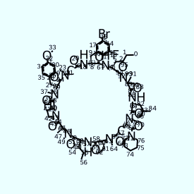 CCCC[C@@H]1NC(=O)[C@H](Cc2cc(F)cc(Br)c2)NC(=O)CN(C)C(=O)[C@H](Cc2ccc(OC)cc2)N(C)C(=O)[C@@H]2CCN2C(=O)[C@H](C)N(C)C(=O)[C@H]([C@@H](C)CC)NC(=O)[C@H](CC)N(C)C(=O)C[C@@H](C(=O)N2CCCCC2)N(C)C(=O)[C@H](CC(C)C)NC(=O)C(C)(C)N(C)C1=O